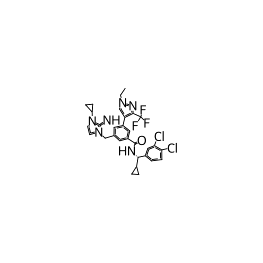 CCn1cc(-c2cc(Cn3ccn(C4CC4)c3=N)cc(C(=O)N[C@H](c3ccc(Cl)c(Cl)c3)C3CC3)c2)c(C(F)(F)F)n1